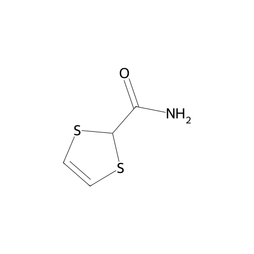 NC(=O)C1SC=CS1